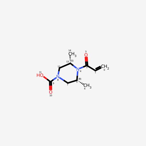 C=CC(=O)N1[C@H](C)CN(C(=O)O)C[C@@H]1C